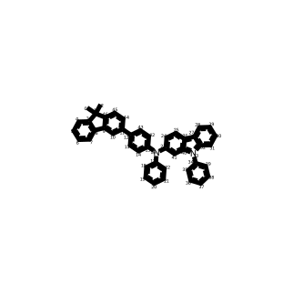 CC1(C)c2ccccc2-c2cc(-c3ccc(N(c4ccccc4)c4ccc5c6ccccc6n(-c6ccccc6)c5c4)cc3)ccc21